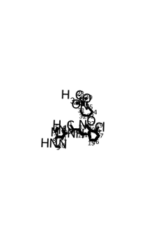 CC(Nc1ncnc2[nH]cnc12)c1cc2cccc(Cl)c2c(OC2CCN(S(C)(=O)=O)CC2)n1